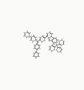 C1=CCCC(C2(C3=CC=CCC3)C3=C(C=CCC3)c3c2ccc2c3SC3C(C4=CC=C(N(c5ccc(-c6ccccc6)cc5)C5C=CC(C6C=CC=CC6)=CC5)CC4)=CC=CC23)=C1